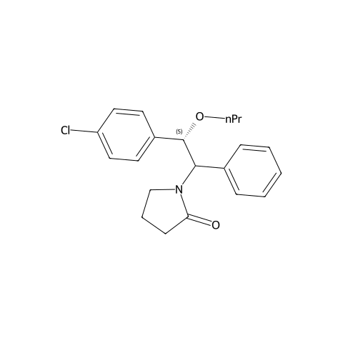 CCCO[C@@H](c1ccc(Cl)cc1)C(c1ccccc1)N1CCCC1=O